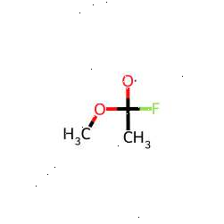 COC(C)([O])F